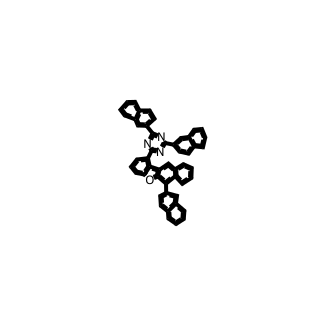 c1ccc2cc(-c3nc(-c4ccc5ccccc5c4)nc(-c4cccc5oc6c(-c7ccc8ccccc8c7)c7ccccc7cc6c45)n3)ccc2c1